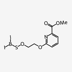 COC(=O)c1cccc(OCCOSB(I)I)n1